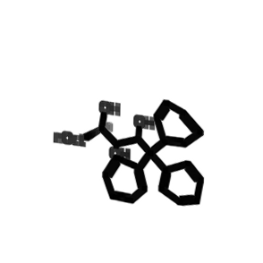 CCCCCCCC[C@@H](O)C(O)C(O)C(c1ccccc1)(c1ccccc1)c1ccccc1